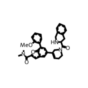 COc1ccccc1-c1cc(C2=CCCN(C(=O)C3Cc4ccccc4CN3)C2)cc2cc(C(=O)N(C)C)oc12